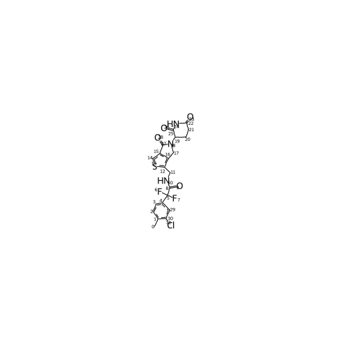 Cc1ccc(C(F)(F)C(=O)NCc2scc3c2CN(C2CCC(=O)NC2=O)C3=O)cc1Cl